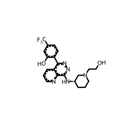 OCCN1CCC[C@@H](Nc2nnc(-c3ccc(C(F)(F)F)cc3O)c3cccnc23)C1